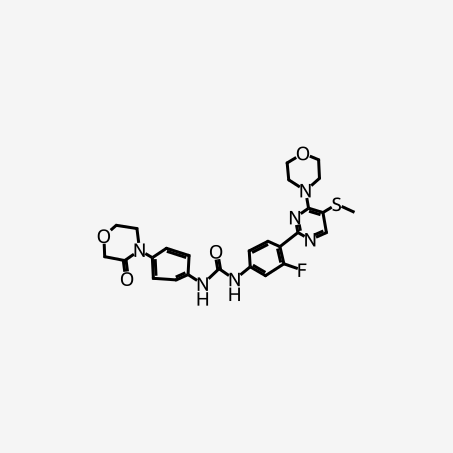 CSc1cnc(-c2ccc(NC(=O)Nc3ccc(N4CCOCC4=O)cc3)cc2F)nc1N1CCOCC1